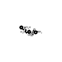 CC(C)Cc1cc(N)ccc1S(=O)(=O)Nc1cccc(C[C@@H](C)CN(Cc2ccccc2)C(=O)O)c1O